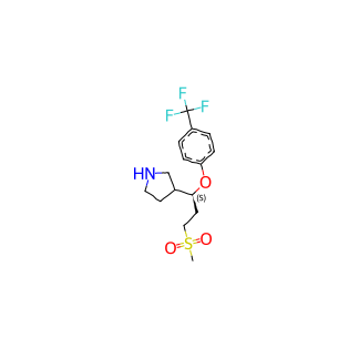 CS(=O)(=O)CC[C@H](Oc1ccc(C(F)(F)F)cc1)C1CCNC1